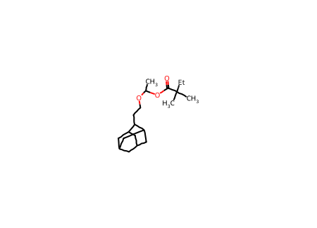 CCC(C)(C)C(=O)OC(C)OCCC1C2CC3CC(C2)CC1C3